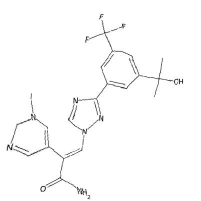 CN1C=C(/C(=C\n2cnc(-c3cc(C(C)(C)O)cc(C(F)(F)F)c3)n2)C(N)=O)C=NC1